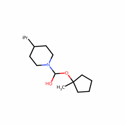 CC(C)C1CCN(C(O)OC2(C)CCCC2)CC1